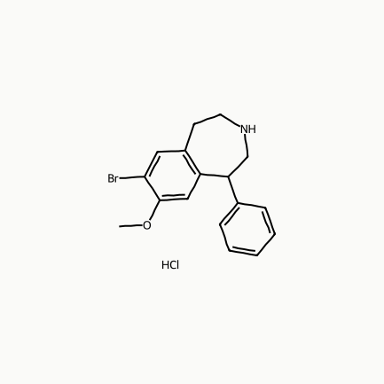 COc1cc2c(cc1Br)CCNCC2c1ccccc1.Cl